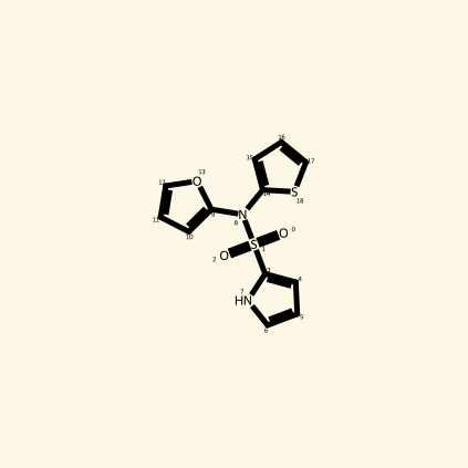 O=S(=O)(c1ccc[nH]1)N(c1ccco1)c1cccs1